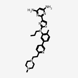 CCCN(c1nc(-c2nc(N)cc(N)n2)cs1)c1cc(-c2ccc(CCN3CCN(C)CC3)nc2)ccc1C